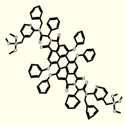 CO[Si](Cc1ccnc(N(Cc2ccccc2)C(=O)C(c2ccccc2)N2C(=O)c3cc(Oc4ccccc4)c4c5c(Oc6ccccc6)cc6c7c(cc(Oc8ccccc8)c(c8c(Oc9ccccc9)cc(c3c48)C2=O)c75)C(=O)N(C(C(=O)N(Cc2ccccc2)c2cc(C[Si](OC)(OC)OC)ccn2)c2ccccc2)C6=O)c1)(OC)OC